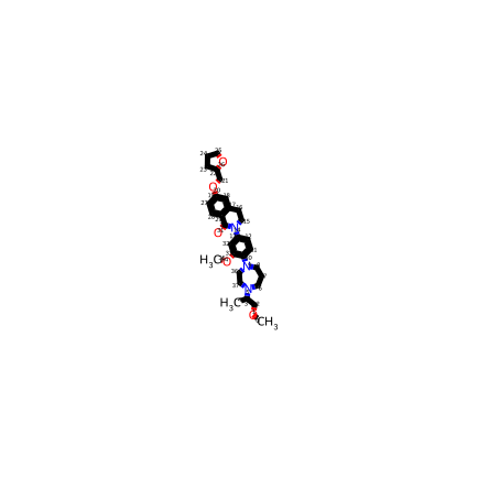 COCC(C)N1CCCN(c2ccc(N3CCc4cc(OCC5CCCO5)ccc4C3=O)cc2OC)CC1